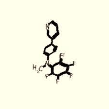 CN(c1ccc(-c2cccnc2)cc1)c1c(F)c(F)c(F)c(F)c1F